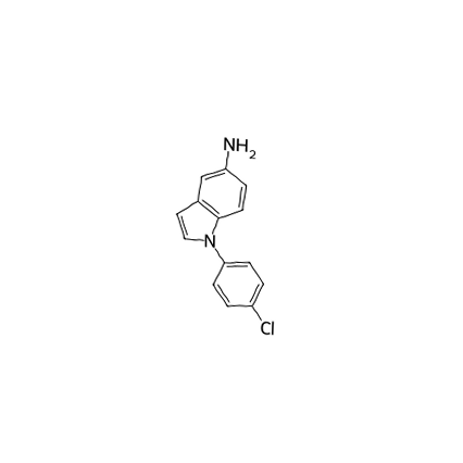 Nc1ccc2c(ccn2-c2ccc(Cl)cc2)c1